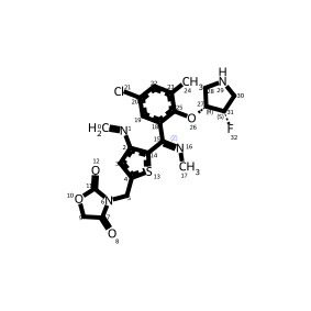 C=Nc1cc(CN2C(=O)COC2=O)sc1/C(=N\C)c1cc(Cl)cc(C)c1O[C@@H]1CNC[C@@H]1F